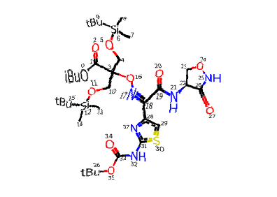 CC(C)COC(=O)C(CO[Si](C)(C)C(C)(C)C)(CO[Si](C)(C)C(C)(C)C)O/N=C(\C(=O)N[C@H]1CONC1=O)c1csc(NC(=O)OC(C)(C)C)n1